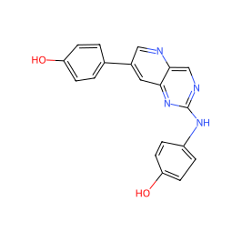 Oc1ccc(Nc2ncc3ncc(-c4ccc(O)cc4)cc3n2)cc1